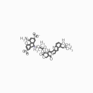 CN(C)Cc1c(O)ccc2nc3c(cc12)Cn1c-3cc2c(c1=O)COC(=O)[C@@]2(C)OC(=O)C(C)(C)O/N=c1/c2cc([N+](=O)[O-])cc3on(N)c4cc([N+](=O)[O-])cc1c4-c32